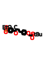 CCOC(=O)C(CCc1ccc(OCC(=O)OC(C)(C)C)cc1)C(=O)c1ccc(S(C)(=O)=O)cc1